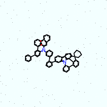 c1ccc(-c2ccc(N(c3cccc(-c4ccccc4-c4ccc5c6ccc7c8c6n(c5c4)-c4ccccc4-c4cccc(c4-8)C74CCCCC4)c3)c3ccc4ccccc4c3)c(-c3ccccc3)c2)cc1